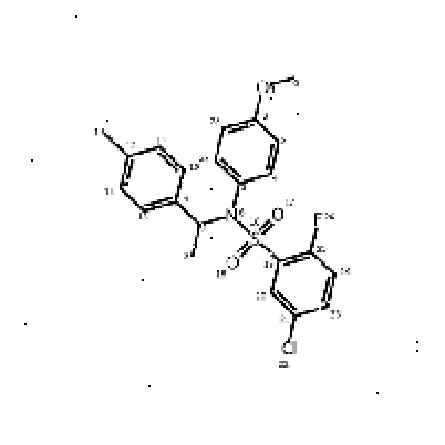 COc1ccc(N(C(C)c2ccc(C)cc2)S(=O)(=O)c2cc(Cl)ccc2F)cc1